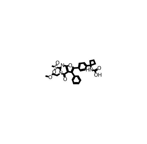 COCCn1c(S(C)(=O)=O)nc2oc(-c3ccc(C4(NC(=O)O)CCC4)cc3)c(-c3ccccc3)c2c1=O